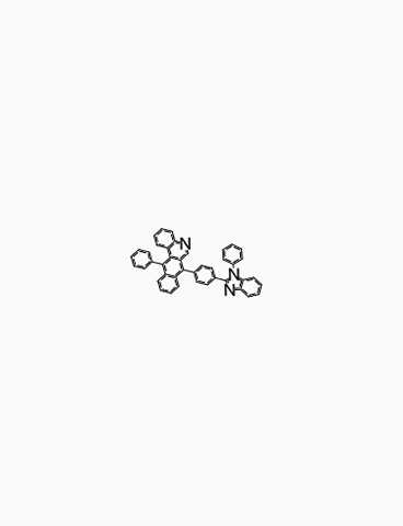 c1ccc(-c2c3ccccc3c(-c3ccc(-c4nc5ccccc5n4-c4ccccc4)cc3)c3cnc4ccccc4c23)cc1